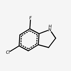 Fc1cc(Cl)cc2c1NCC2